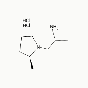 CC(N)CN1CCC[C@@H]1C.Cl.Cl